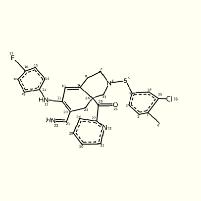 Cc1ccc(SN2CCC3=CC(Nc4ccc(F)cc4)=C(C=N)CC3(C(=O)c3ccccn3)C2)cc1Cl